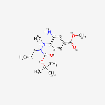 C=CCN(C(=O)OC(C)(C)C)N(C)c1ccc(C(=O)OC)cc1N